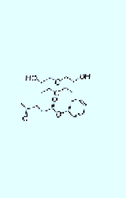 CC(=O)CCC(=O)Oc1ccccc1.CCOCC.OCCOCCO